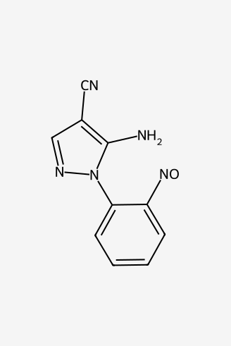 N#Cc1cnn(-c2ccccc2N=O)c1N